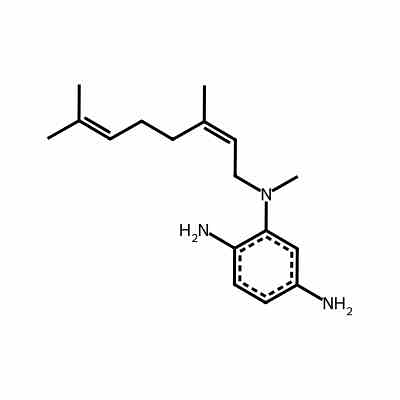 CC(C)=CCCC(C)=CCN(C)c1cc(N)ccc1N